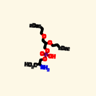 CCCCCCCCCCCCOCC(COP(=O)(O)OCC(N)C(=O)O)OCCCCCCCCCCCC